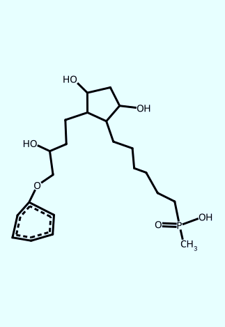 CP(=O)(O)CCCCCCC1C(O)CC(O)C1CCC(O)COc1ccccc1